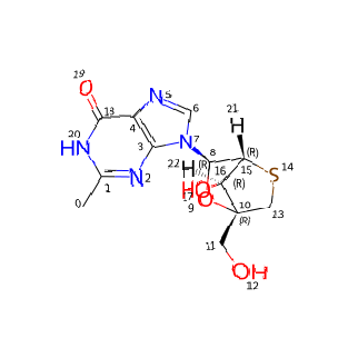 Cc1nc2c(ncn2[C@@H]2O[C@@]3(CO)CS[C@@H]2[C@@H]3O)c(=O)[nH]1